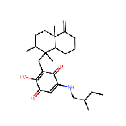 C=C1CCCC2C1(C)CCC(C)C2(C)CC1=C(O)C(=O)C=C(NCC(C)CC)C1=O